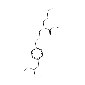 CCCCCOCCN(CCOc1ccc(CC(OCC)C(=O)O)cc1)C(=O)NCCC